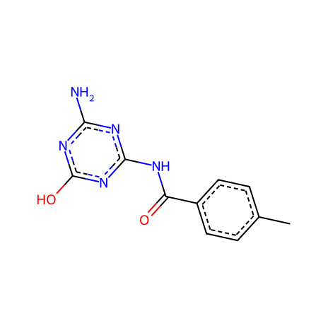 Cc1ccc(C(=O)Nc2nc(N)nc(O)n2)cc1